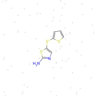 Nc1ncc(Sc2cccs2)s1